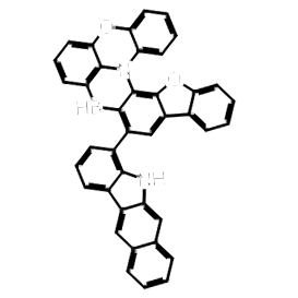 B1c2cccc3c2N(c2ccccc2O3)c2c1c(-c1cccc3c1[nH]c1cc4ccccc4cc13)cc1c2oc2ccccc21